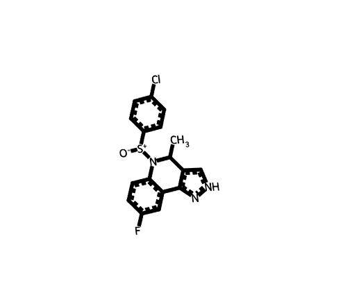 CC1c2c[nH]nc2-c2cc(F)ccc2N1[S+]([O-])c1ccc(Cl)cc1